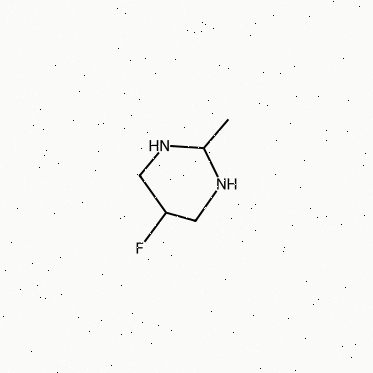 CC1NCC(F)CN1